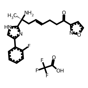 C[C@](N)(C/C=C/CCC(=O)c1ccon1)c1nc(-c2ccccc2F)c[nH]1.O=C(O)C(F)(F)F